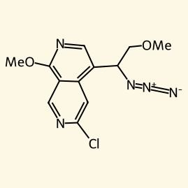 COCC(N=[N+]=[N-])c1cnc(OC)c2cnc(Cl)cc12